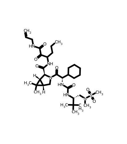 C=CCNC(=O)C(=O)C(CCC)NC(=O)[C@@H]1[C@@H]2[C@H](CN1C(=O)[C@@H](NC(=O)N[C@H](CN(C)S(C)(=O)=O)C(C)(C)C)C1CCCCC1)C2(C)C